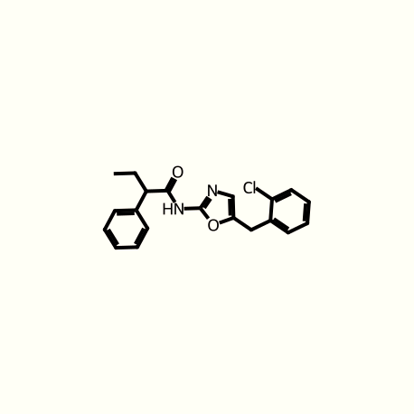 CCC(C(=O)Nc1ncc(Cc2ccccc2Cl)o1)c1ccccc1